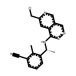 Cc1c(C#N)cccc1[C@@H](C)Nc1nncc2cnc(CCl)cc12